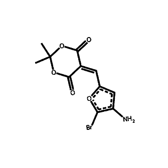 CC1(C)OC(=O)C(=Cc2cc(N)c(Br)o2)C(=O)O1